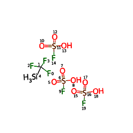 FC(F)(F)[SiH3].O=S(=O)(O)F.O=S(=O)(O)F.O=S(=O)(O)F